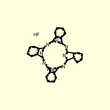 F.c1ccc2c(c1)-c1nc-2nc2[nH]c(nc3nc(nc4[nH]c(n1)c1ccccc41)-c1ccccc1-3)c1ccccc21